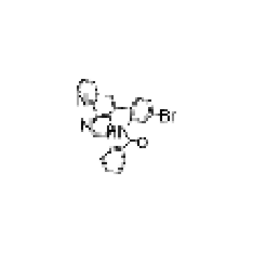 O=C(Nc1cc(Br)ccc1-c1cc2cccnc2c2ncccc12)c1ccccc1